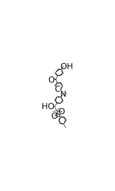 Cc1ccc(S(=O)(=O)C(C)(C)C(O)c2ccc(N(C)c3ccc(C(=O)c4ccc(O)cc4)cc3)cc2)cc1